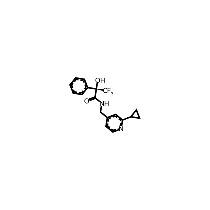 O=C(NCc1ccnc(C2CC2)c1)[C@@](O)(c1ccccc1)C(F)(F)F